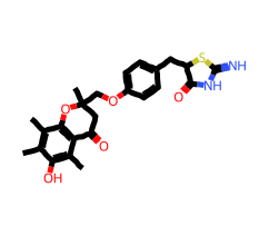 Cc1c(C)c2c(c(C)c1O)C(=O)CC(C)(COc1ccc(CC3SC(=N)NC3=O)cc1)O2